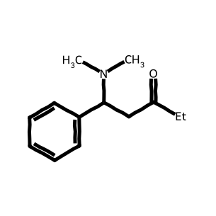 CCC(=O)CC(c1ccccc1)N(C)C